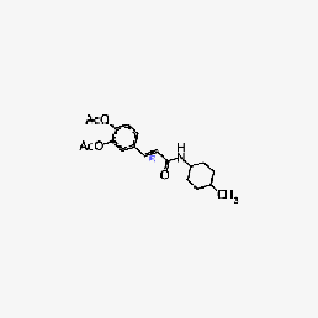 CC(=O)Oc1ccc(/C=C/C(=O)NC2CCC(C)CC2)cc1OC(C)=O